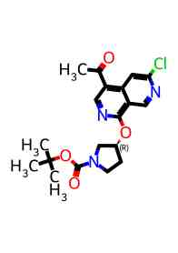 CC(=O)c1cnc(O[C@@H]2CCN(C(=O)OC(C)(C)C)C2)c2cnc(Cl)cc12